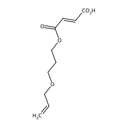 C=CCOCCCOC(=O)C=CC(=O)O